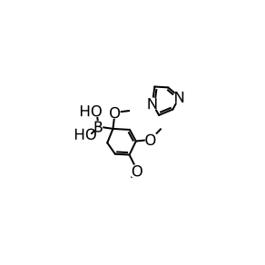 COC1=CCC(OC)(B(O)O)C=C1OC.c1cnccn1